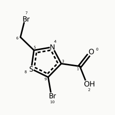 O=C(O)c1nc(CBr)sc1Br